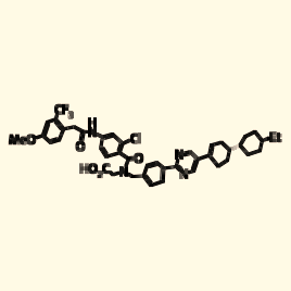 CC[C@H]1CC[C@H](C2CC=C(c3cnc(-c4ccc(CN(CC(=O)O)C(=O)c5ccc(NC(=O)Cc6ccc(OC)cc6C(F)(F)F)cc5Cl)cc4)nc3)CC2)CC1